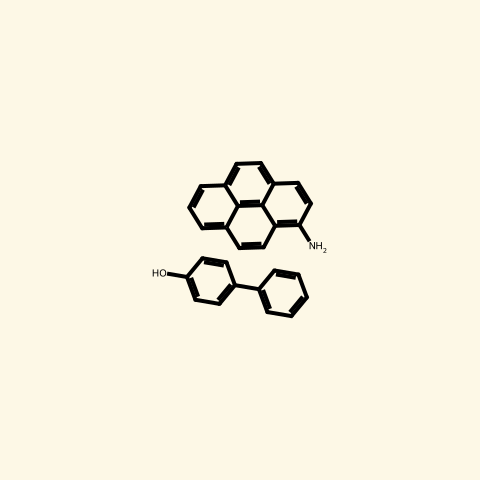 Nc1ccc2ccc3cccc4ccc1c2c34.Oc1ccc(-c2ccccc2)cc1